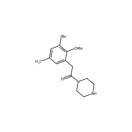 COc1c(CC(=O)N2CCNCC2)cc(C)cc1C(C)(C)C